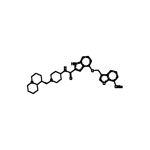 COc1cccc2c(COc3cccc4[nH]c(C(=O)NC5CCN(C[C@@H]6CCCN7CCCCC67)CC5)cc34)coc12